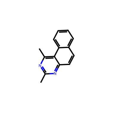 Cc1nc(C)c2c(ccc3ccccc32)n1